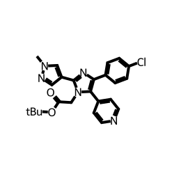 Cn1cc(-c2nc(-c3ccc(Cl)cc3)c(-c3ccncc3)n2CC(=O)OC(C)(C)C)cn1